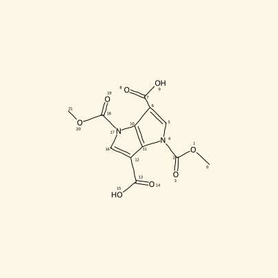 COC(=O)n1cc(C(=O)O)c2c1c(C(=O)O)cn2C(=O)OC